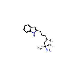 CCC(CCCc1cc2ccccc2[nH]1)CC(C)(C)N